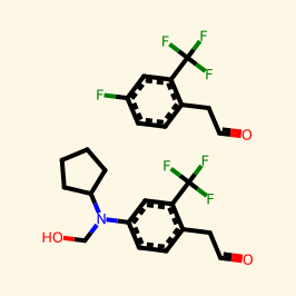 O=CCc1ccc(F)cc1C(F)(F)F.O=CCc1ccc(N(CO)C2CCCC2)cc1C(F)(F)F